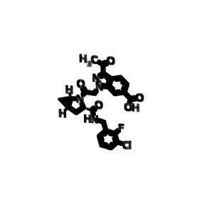 CC(=O)c1nn(CC(=O)N2[C@@H]3C[C@@H]3C[C@H]2C(=O)NCc2cccc(Cl)c2F)c2cc(C(=O)O)ccc12